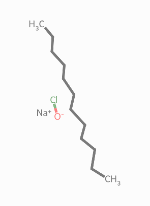 CCCCCCCCCCCC.[Na+].[O-]Cl